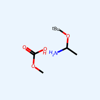 CC(N)OC(C)(C)C.COC(=O)O